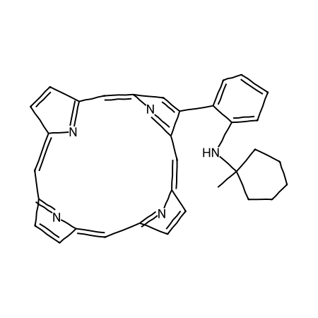 CC1(Nc2ccccc2C2=CC3=CC4=NC(=CC5=NC(=CC6=NC(=CC2=N3)C=C6)C=C5)C=C4)CCCCC1